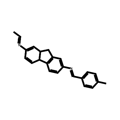 CC=NC1=CC2Cc3cc(N=Cc4ccc(C)cc4)ccc3C2C=C1